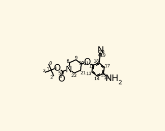 CC(C)(C)OC(=O)N1CCC(Oc2ccc(N)cc2C#N)CC1